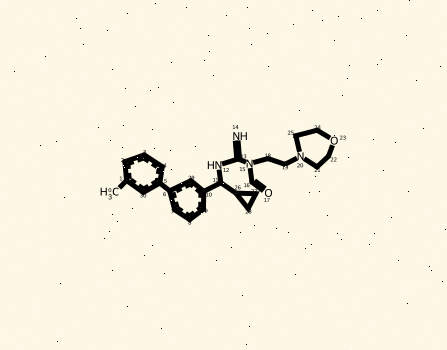 Cc1cccc(-c2cccc(C(NC(=N)N(C=O)CCN3CCOCC3)C3CC3)c2)c1